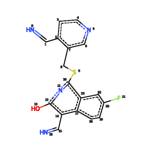 N=Cc1ccncc1CSc1nc(O)c(C=N)c2ccc(F)cc12